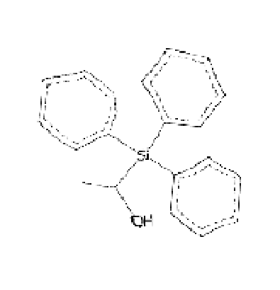 CC(O)[Si](c1ccccc1)(c1ccccc1)c1ccccc1